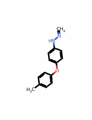 C=NNc1ccc(Oc2ccc(C)cc2)cc1